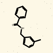 Cc1cccc(CNC(=O)c2cc[c]cc2)c1